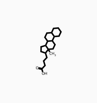 CC12CCC3C4CCCCC4CCC3C1CCC2CCCC(=O)O